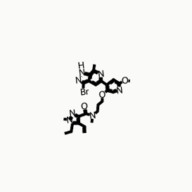 C=Cc1c(C(=O)N(C)CCCOc2cnc(OC)cc2-c2cc3c(Br)n[nH]c3c(C)n2)nn(C)c1CC